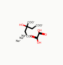 O=C(O)C(=O)O.O=C([O-])CC(O)(CC(=O)[O-])C(=O)[O-].[Na+].[Na+].[Na+]